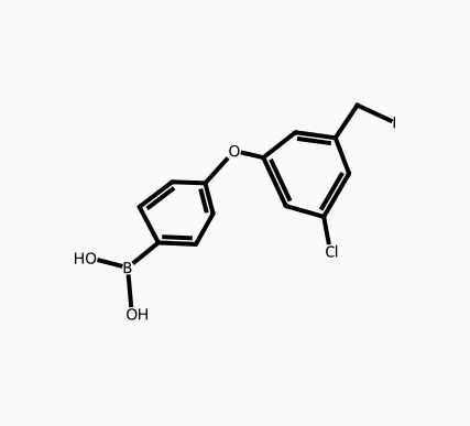 OB(O)c1ccc(Oc2cc(Cl)cc(CI)c2)cc1